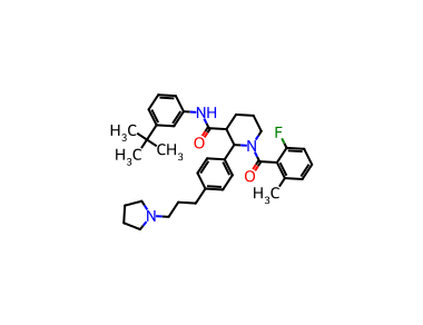 Cc1cccc(F)c1C(=O)N1CCCC(C(=O)Nc2cccc(C(C)(C)C)c2)C1c1ccc(CCCN2CCCC2)cc1